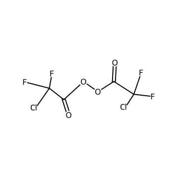 O=C(OOC(=O)C(F)(F)Cl)C(F)(F)Cl